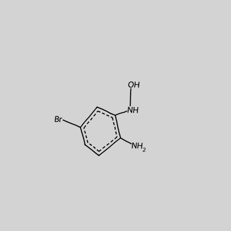 Nc1ccc(Br)cc1NO